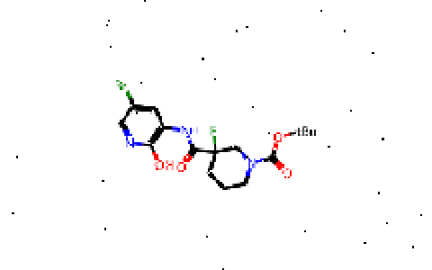 CC(C)(C)OC(=O)N1CCCC(F)(C(=O)Nc2cc(Br)cnc2O)C1